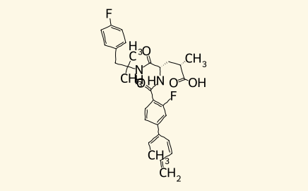 C=C/C=C\C(=C/C)c1ccc(C(=O)N[C@@H](C[C@H](C)C(=O)O)C(=O)NC(C)(C)Cc2ccc(F)cc2)c(F)c1